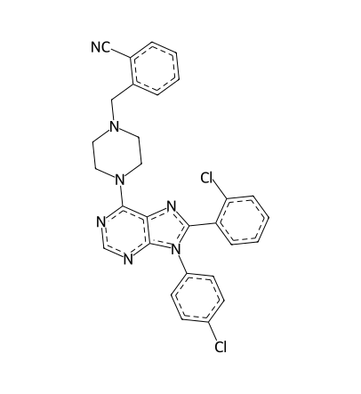 N#Cc1ccccc1CN1CCN(c2ncnc3c2nc(-c2ccccc2Cl)n3-c2ccc(Cl)cc2)CC1